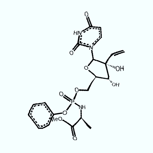 C=C[C@]1(O)C(n2ccc(=O)[nH]c2=O)O[C@H](COP(=O)(N[C@@H](C)C(=O)OC)Oc2ccccc2)[C@H]1O